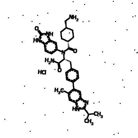 Cc1cc2[nH]c(C(C)C)nc2cc1-c1ccc(C[C@H](C(N)=O)N(c2ccc3[nH]c(=O)[nH]c3c2)C(=O)[C@H]2CC[C@H](CN)CC2)cc1.Cl